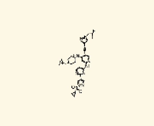 CN(C)CC1CCC(Nc2cc(Nc3ccnc(-c4cnn(S(=O)(=O)C5CC5)c4)n3)ncc2C#Cc2cnn(CC(F)F)c2)CC1